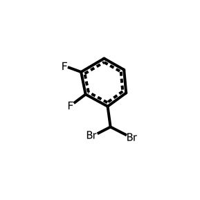 Fc1cccc(C(Br)Br)c1F